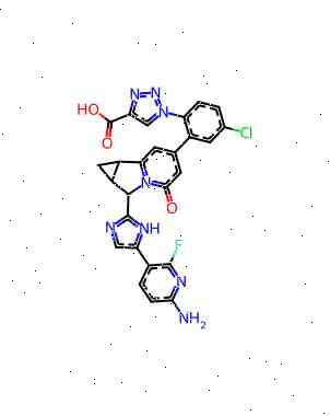 Nc1ccc(-c2cnc(C3C4CC4c4cc(-c5cc(Cl)ccc5-n5cc(C(=O)O)nn5)cc(=O)n43)[nH]2)c(F)n1